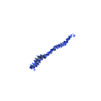 N/N=N/N=N/N=N/N=N/N=N/N=N/N=N/N=N/N=N/N=N/N=N/N=N/N=N/N=N/N=N/N=N/N